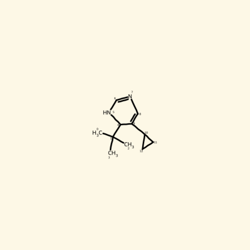 CC(C)(C)C1NC=NC=C1C1CC1